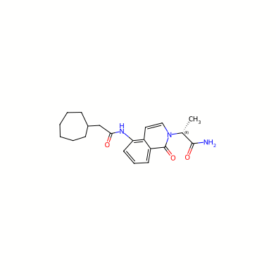 C[C@H](C(N)=O)n1ccc2c(NC(=O)CC3CCCCCC3)cccc2c1=O